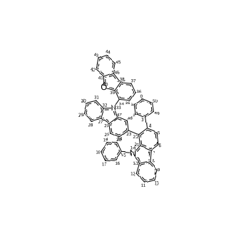 c1ccc(-c2ccc3c4ccccc4n(-c4ccccc4)c3c2-c2ccc3c4ccccc4n(-c4cccc5c4oc4ccccc45)c3c2)cc1